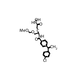 C=C(c1ccc(Cl)cc1)c1ccc(C(=O)NC(CCC(=O)NO)COCOC)cc1